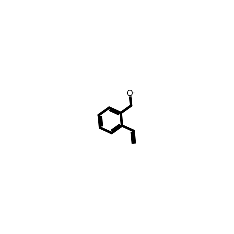 C=Cc1ccccc1C[O]